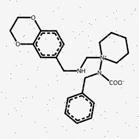 O=C([O-])N(Cc1ccccc1)[N+]1(CNCc2ccc3c(c2)OCCO3)CCCCC1